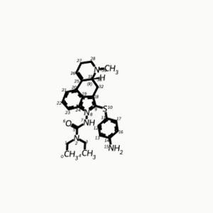 CCN(CC)C(=O)Nn1c(Sc2ccc(N)cc2)c2c3c(cccc31)C1=CCCN(C)[C@@H]1C2